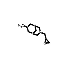 CN1CN2CN(CC3CO3)CN(C1)C2